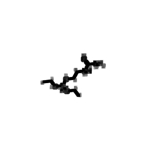 CCO[SiH](OCC)OCCNC(N)=O